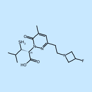 Cc1cc(CCN2CC(F)C2)nn([C@H](C(=O)O)C([SiH3])C(C)C)c1=O